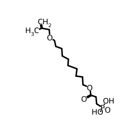 C=C(C)COCCCCCCCCCCOC(=O)CCP(=O)(O)O